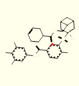 O=C(Nc1cc(F)c(F)c(F)c1)c1ccc(Cl)c(S(=O)(=O)[C@H]2CC3CC(C2)[C@]3(O)CNC(=O)C2CC=CCC2)c1